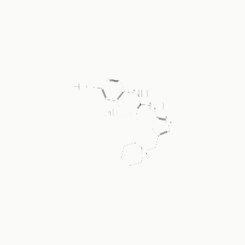 Cc1ccc(NC(=O)Nc2ncc(CN3CCCCC3)s2)c(OCC(C)C)c1